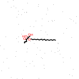 CC=CC(=O)C(OCCCCCCCCCCCCCCCC)[C@@H](O)CO